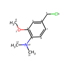 COc1cc(CCl)ccc1N(C)C